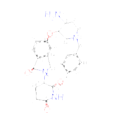 NC1CCN(Cc2ccccc2)CC1Oc1ccc2c(c1)CN(C1CCC(=O)NC1=O)C2=O